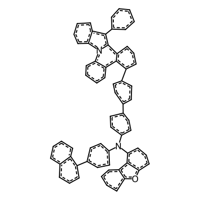 c1ccc(-c2c3ccccc3n3c4ccccc4c4c(-c5ccc(-c6ccc(N(c7ccc(-c8cccc9ccccc89)cc7)c7cccc8oc9ccccc9c78)cc6)cc5)cccc4c23)cc1